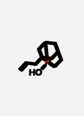 C=CCC12CC3CC(CC(C3)N1O)C2